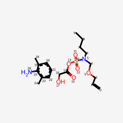 C=CCOCN(CCCC)S(=O)(=O)OC(=O)CO.Cc1cccc(C)c1N